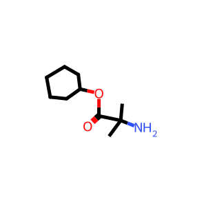 CC(C)(N)C(=O)OC1CCCCC1